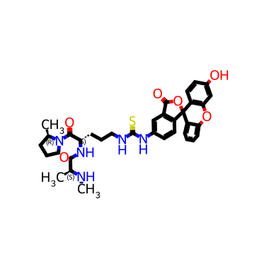 CN[C@@H](C)C(=O)N[C@@H](CCCNC(=S)Nc1ccc2c(c1)C(=O)OC21c2ccccc2Oc2cc(O)ccc21)C(=O)N1CCC[C@H]1C